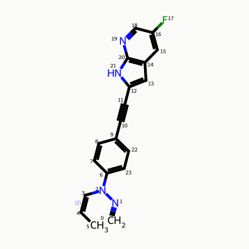 C=NN(/C=C\C)c1ccc(C#Cc2cc3cc(F)cnc3[nH]2)cc1